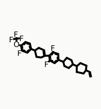 C=CC1CCC(C2CCC(c3cc(F)c(C4=CCC(c5ccc(OC(F)(F)F)c(F)c5)CC4)c(F)c3)CC2)CC1